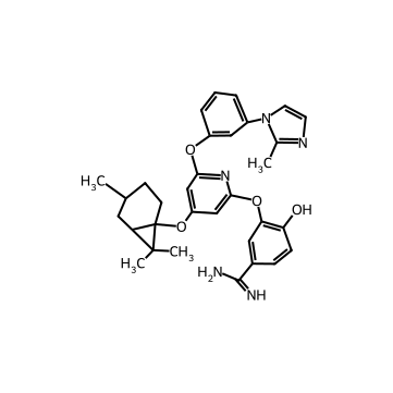 Cc1nccn1-c1cccc(Oc2cc(OC34CCC(C)CC3C4(C)C)cc(Oc3cc(C(=N)N)ccc3O)n2)c1